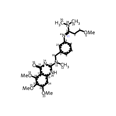 COCC/C(=N\c1cccc(CN(C)c2nc(=O)c3c(OC)c(OC)c(OC)cc3[nH]2)c1)N(C)C